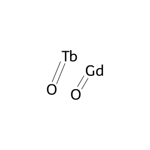 [O]=[Gd].[O]=[Tb]